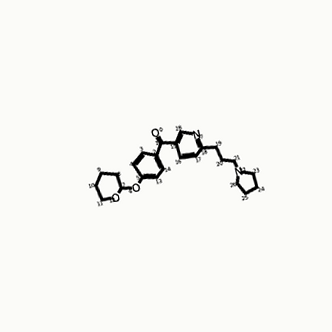 O=C(c1ccc(OC2CCCCO2)cc1)c1ccc(CCCN2CCCC2)nc1